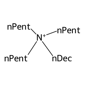 CCCCCCCCCC[N+](CCCCC)(CCCCC)CCCCC